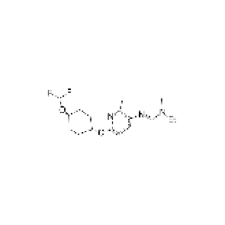 CCN(C)C=Nc1ccc(O[C@H]2CC[C@H](OC(F)F)CC2)nc1C